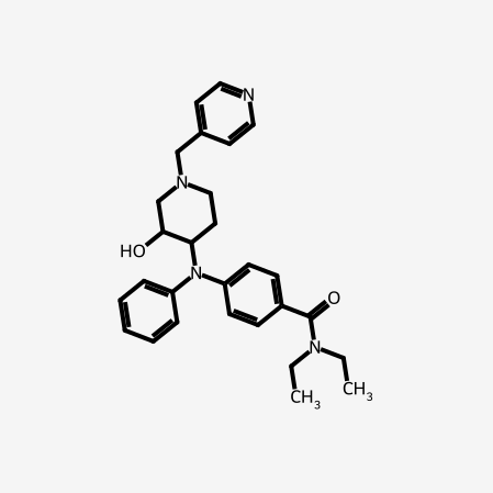 CCN(CC)C(=O)c1ccc(N(c2ccccc2)C2CCN(Cc3ccncc3)CC2O)cc1